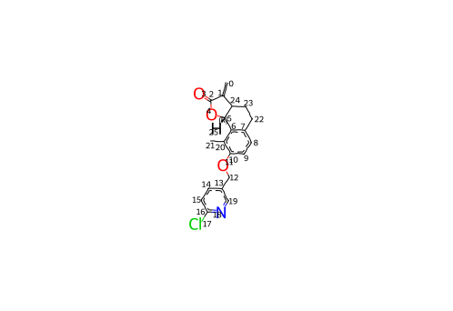 C=C1C(=O)O[C@H]2c3c(ccc(OCc4ccc(Cl)nc4)c3C)CCC12